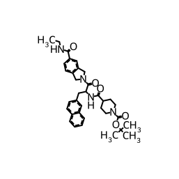 CCNC(=O)c1ccc2c(c1)CN(C(=O)C(Cc1ccc3ccccc3c1)NC(=O)C1CCN(C(=O)OC(C)(C)C)CC1)C2